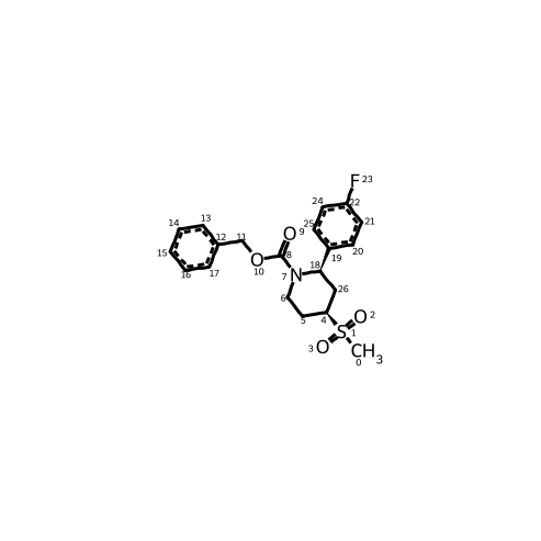 CS(=O)(=O)[C@H]1CCN(C(=O)OCc2ccccc2)[C@@H](c2ccc(F)cc2)C1